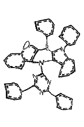 c1ccc(B2c3oc4ccccc4c3N(c3nc(-c4ccccc4)nc(-c4ccccc4)n3)c3c2n(-c2ccccc2)c2ccccc32)cc1